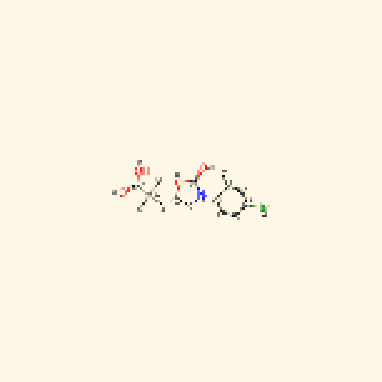 Cc1cc(Br)ccc1N1C[C@H](CC(C)(C)C(=O)O)OC1=O